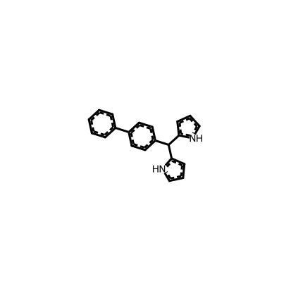 c1ccc(-c2ccc(C(c3ccc[nH]3)c3ccc[nH]3)cc2)cc1